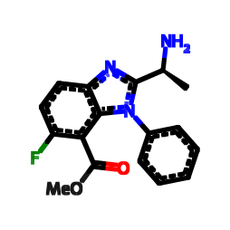 COC(=O)c1c(F)ccc2nc([C@H](C)N)n(-c3ccccc3)c12